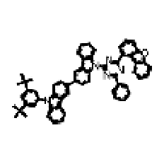 CC(C)(C)c1cc(-n2c3ccccc3c3cc(-c4ccc5c(c4)c4ccccc4n5-c4nc(-c5ccccc5)nc(-c5cccc6oc7ccccc7c56)n4)ccc32)cc(C(C)(C)C)c1